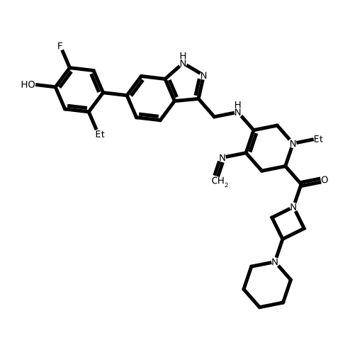 C=NC1=C(NCc2n[nH]c3cc(-c4cc(F)c(O)cc4CC)ccc23)CN(CC)C(C(=O)N2CC(N3CCCCC3)C2)C1